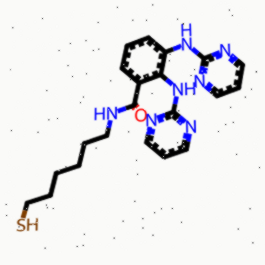 O=C(NCCCCCCS)c1cccc(Nc2ncccn2)c1Nc1ncccn1